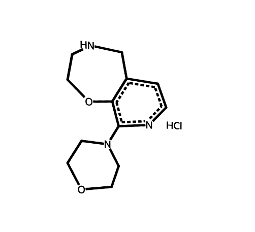 Cl.c1cc2c(c(N3CCOCC3)n1)OCCNC2